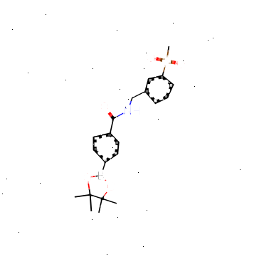 CC1(C)OB(c2ccc(C(=O)NCc3cccc(S(C)(=O)=O)c3)cc2)OC1(C)C